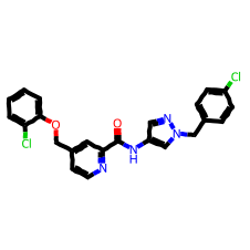 O=C(Nc1cnn(Cc2ccc(Cl)cc2)c1)c1cc(COc2ccccc2Cl)ccn1